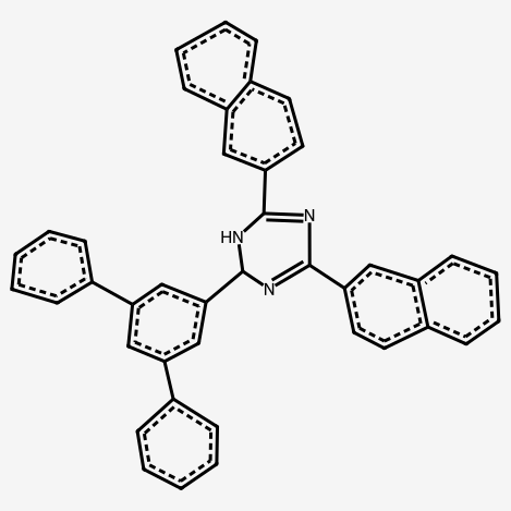 c1ccc(-c2cc(-c3ccccc3)cc(C3N=C(c4ccc5ccccc5c4)N=C(c4ccc5ccccc5c4)N3)c2)cc1